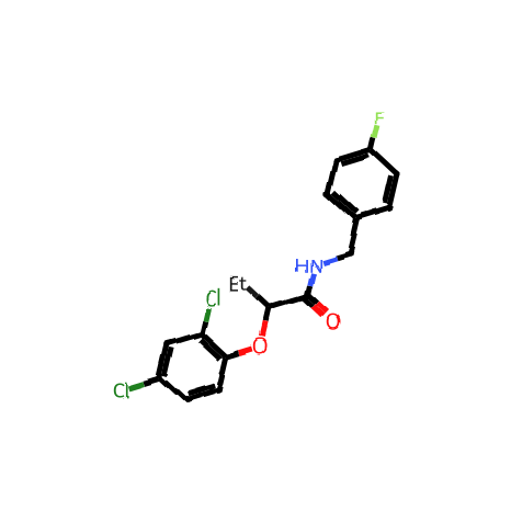 CCC(Oc1ccc(Cl)cc1Cl)C(=O)NCc1ccc(F)cc1